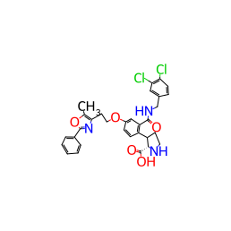 Cc1oc(-c2ccccc2)nc1CCOc1ccc(C2CCN[C@@H]2C(=O)O)c(C(=O)NCc2ccc(Cl)c(Cl)c2)c1